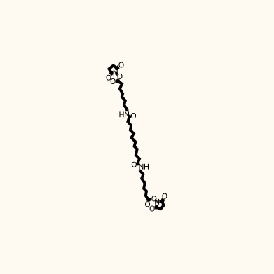 O=C(CCCCCCCCCCC(=O)NCCCCCCCC(=O)ON1C(=O)CCC1=O)NCCCCCCCC(=O)ON1C(=O)CCC1=O